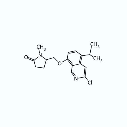 CC(C)c1ccc(OCC2CCC(=O)N2C)c2cnc(Cl)cc12